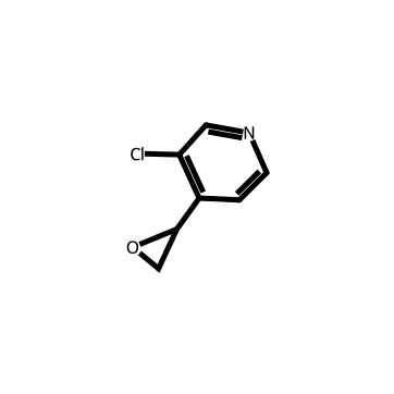 Clc1cnccc1C1CO1